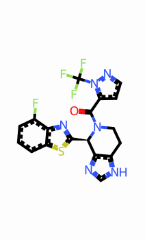 O=C(c1ccnn1C(F)(F)F)N1CCc2[nH]cnc2[C@H]1c1nc2c(F)cccc2s1